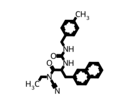 CCN(C#N)C(=O)C(Cc1ccc2ccccc2c1)NC(=O)NCc1ccc(C)cc1